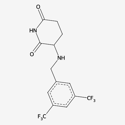 O=C1CCC(NCc2cc(C(F)(F)F)cc(C(F)(F)F)c2)C(=O)N1